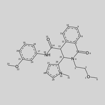 COCCN1C(=O)c2ccccc2C(C(=O)Nc2cccc(OC)c2)C1c1cccn1C